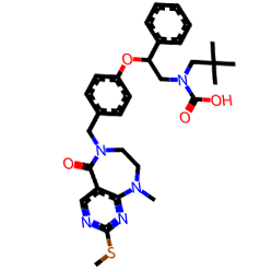 CSc1ncc2c(n1)N(C)CCN(Cc1ccc(OC(CN(CC(C)(C)C)C(=O)O)c3ccccc3)cc1)C2=O